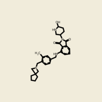 Cc1cc(CNc2cccc3c2C(=O)N(C2CCC(O)NC2)C3=O)ccc1CN1CC2(CCCC2)C1